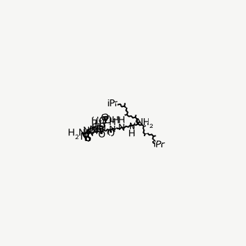 CCNCc1nc2c(N)nc3ccccc3c2n1CCCNC(=O)[C@H](CCC(=O)NCCCNCCCCNCCC(N)(CCC(C)CCCC(C)CCCC(C)CCCC(C)C)CCC(C)CCCC(C)CCCC(C)CCCC(C)C)NCCCP(=O)(O)O